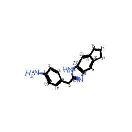 Nc1ccc(Cc2nc3cc4c(cc3[nH]2)CCC4)cc1